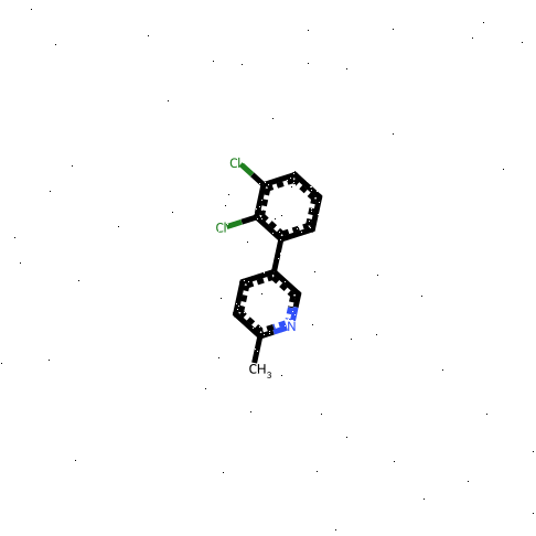 Cc1ccc(-c2cc[c]c(Cl)c2Cl)cn1